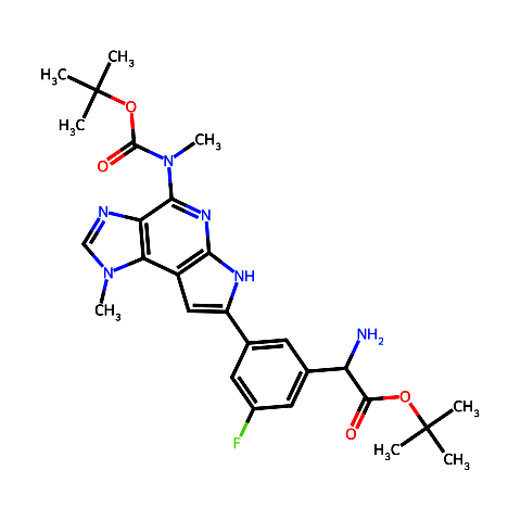 CN(C(=O)OC(C)(C)C)c1nc2[nH]c(-c3cc(F)cc(C(N)C(=O)OC(C)(C)C)c3)cc2c2c1ncn2C